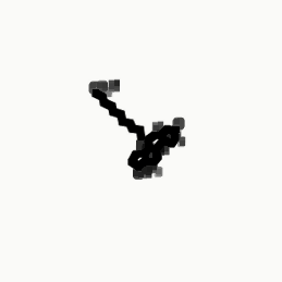 C[C@]12CCC(=O)C[C@@H]1C[C@@H](CCCCCCCCCCCC(=O)O)[C@@H]1[C@@H]2CC[C@]2(C)[C@@H](O)CC[C@@H]12